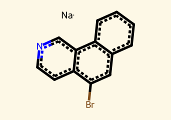 Brc1cc2ccccc2c2cnccc12.[Na]